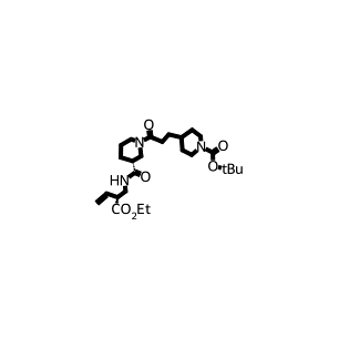 C=C[C@@H](CNC(=O)[C@@H]1CCCN(C(=O)CCC2CCN(C(=O)OC(C)(C)C)CC2)C1)C(=O)OCC